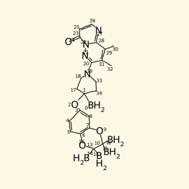 BC1(Oc2ccc3c(c2)OC(B)(B)C(B)(B)O3)CCN(c2nn3c(=O)ccnc3c(C)c2C)CC1